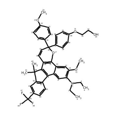 CCN(CC)c1cc2c3c(c4c(c2cc1OC)OC(c1ccc(OC)cc1)(c1ccc(OCCO)cc1)C=C4)C(C)(C)c1cc(C(F)(F)F)ccc1-3